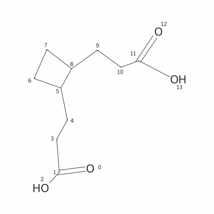 O=C(O)CCC1CCC1CCC(=O)O